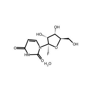 O.O=c1ccn([C@]2(F)O[C@H](CO)[C@@H](O)[C@H]2O)c(=O)[nH]1